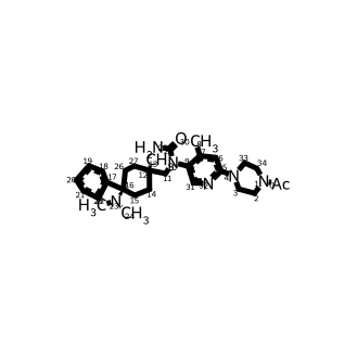 CC(=O)N1CCN(c2cc(C)c(N(C[C@]3(C)CC[C@@](c4ccccc4)(N(C)C)CC3)C(N)=O)cn2)CC1